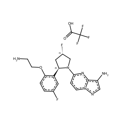 NCCOc1ccc(F)cc1[C@H]1C[C@H](F)CN1c1ccn2ncc(N)c2n1.O=C(O)C(F)(F)F